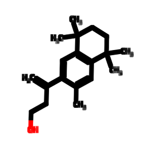 C=C(CCO)c1cc2c(cc1C)C(C)(C)CCC2(C)C